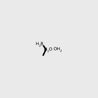 BCC.O.O